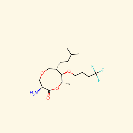 CC(C)CC[C@H]1COC[C@H](N)C(=O)O[C@@H](C)[C@@H]1OCCCC(F)(F)F